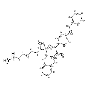 CNCCOCCN(C)C(=O)C1Cc2ccccc2CN1C(=O)Cc1ccc(OCc2ccccc2)cc1